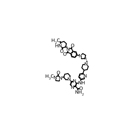 C=C1CC[C@@H](N2C(=O)c3ccc(N4CC[C@H](CN5CCC(c6ccc(Nc7nc(N8CCC[C@@H](N9CCN(C)C9=O)C8)cnc7C(N)=O)cn6)CC5)C4)cc3C2=O)C(=O)N1